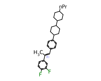 CCCC1CCC(C2CCC(c3ccc(/C=C(\C)c4ccc(F)c(F)c4)cc3)CC2)CC1